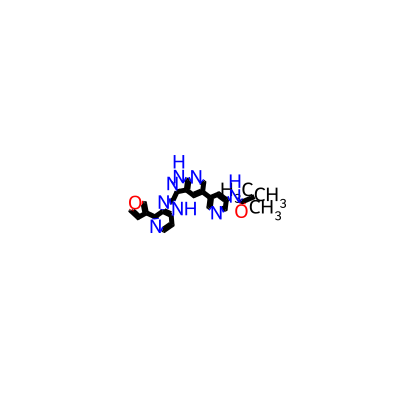 CC(C)(C)C(=O)Nc1cncc(-c2cnc3[nH]nc(-c4nc5c(-c6ccoc6)nccc5[nH]4)c3c2)c1